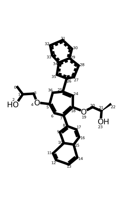 CC(O)COC1=CC(C2=CC3C=CC=CC3C=C2)=C(OC[C@@H](C)O)C=C(c2ccc3ccccc3c2)C1